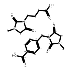 CN1CC(=O)N(CCCC(=O)O)C1=O.CN1CC(=O)N(Cc2ccc(C(=O)O)cc2)C1=O